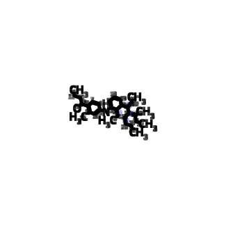 C/C=C1\C(Nc2ccc(C(=O)CCC)c(C)c2)=CC=CC1C(=C\C)/C(/C=C\CC)=C(\C)CC